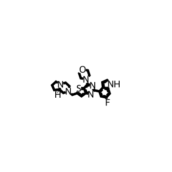 Fc1cc(-c2nc(N3CCOCC3)c3sc(CN4CCN5CCC[C@@H]5C4)cc3n2)c2cc[nH]c2c1